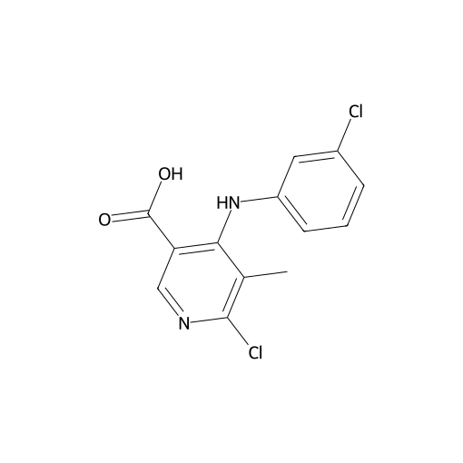 Cc1c(Cl)ncc(C(=O)O)c1Nc1cccc(Cl)c1